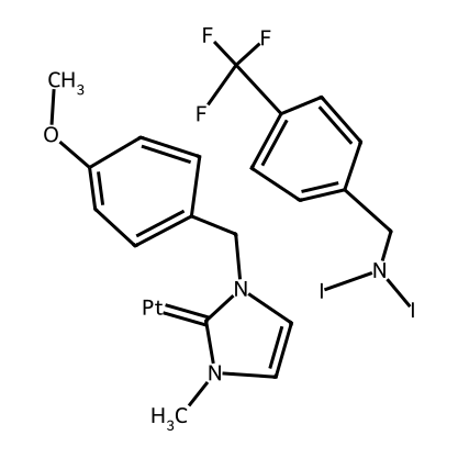 COc1ccc(Cn2ccn(C)[c]2=[Pt])cc1.FC(F)(F)c1ccc(CN(I)I)cc1